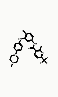 Cc1nc(C(F)(F)F)ccc1C(=O)Nc1ccc(Cl)c(Nc2ccc(N3CCN(C)CC3)cc2)c1